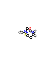 C1=CC2c3c(cc(-c4ccccc4)c4ccccc34)N(c3ccc4c(c3)oc3cccc(-c5nc(-c6ccc7ccccc7c6)c6sc7ccccc7c6n5)c34)C2C=C1